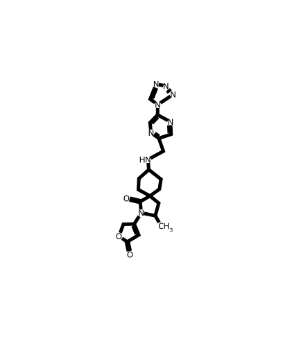 CC1CC2(CCC(NCc3cnc(-n4cnnn4)cn3)CC2)C(=O)N1C1=CC(=O)OC1